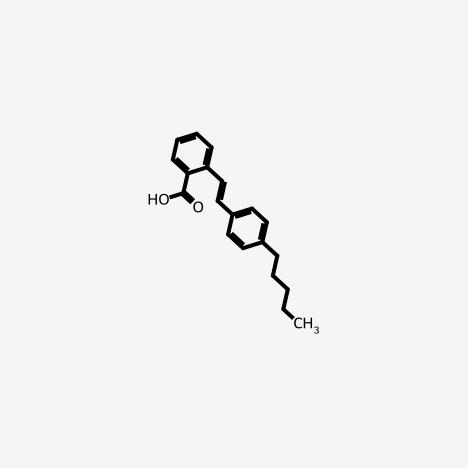 CCCCCc1ccc(C=Cc2ccccc2C(=O)O)cc1